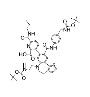 CCCNC(=O)c1ccc(-c2cc3c(cc2C(=O)Nc2ccc(CNC(=O)OC(C)(C)C)cc2)-c2sccc2CCN3CCNC(=O)OC(C)(C)C)c(C(=O)O)n1